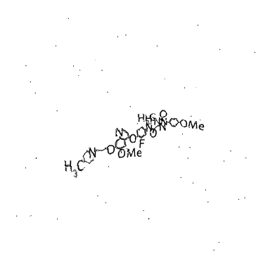 COc1ccc(-n2nc(C(=O)Nc3ccc(Oc4ccnc5cc(OCCCN6CCC(C)CC6)c(OC)cc45)c(F)c3)n(C)c2=O)cc1